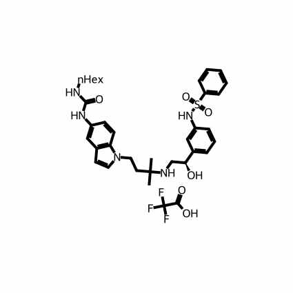 CCCCCCNC(=O)Nc1ccc2c(ccn2CCC(C)(C)NC[C@H](O)c2cccc(NS(=O)(=O)c3ccccc3)c2)c1.O=C(O)C(F)(F)F